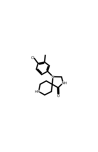 Cc1cc(N2CNC(=O)C23CCNCC3)ccc1Cl